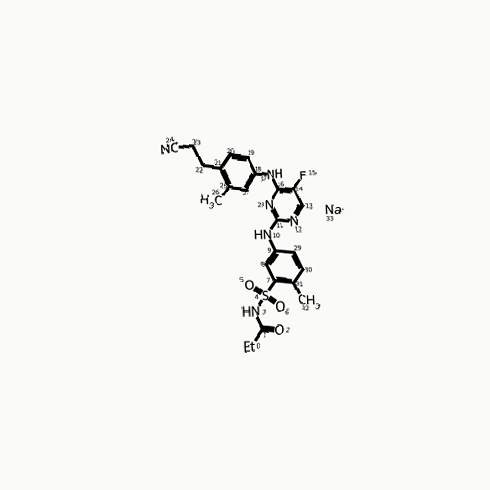 CCC(=O)NS(=O)(=O)c1cc(Nc2ncc(F)c(Nc3ccc(CCC#N)c(C)c3)n2)ccc1C.[Na]